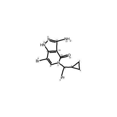 CC(C)C(C1CC1)n1cc(Br)c2[nH]nc(N)c2c1=O